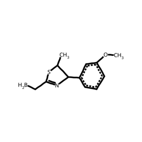 BCC1=NC(c2cccc(OC)c2)C(C)S1